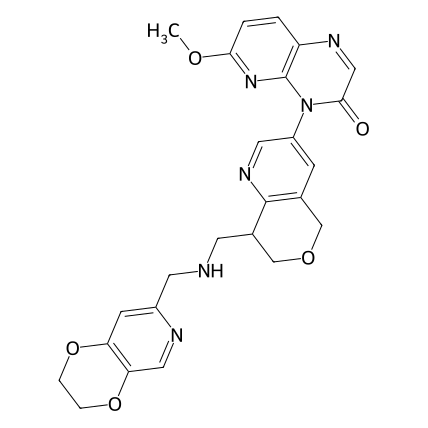 COc1ccc2ncc(=O)n(-c3cnc4c(c3)COCC4CNCc3cc4c(cn3)OCCO4)c2n1